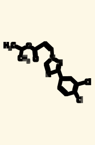 CC(C)OC(=O)/C=C\n1cnc(-c2ccc(Cl)c(Cl)c2)n1